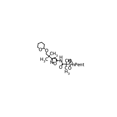 CCCCCS(=O)(=O)C(C)(C)C(=O)Nc1cc(C(C)(C)COC2CCCCO2)no1